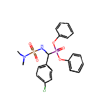 CN(C)S(=O)(=O)NC(c1ccc(Cl)cc1)P(=O)(Oc1ccccc1)Oc1ccccc1